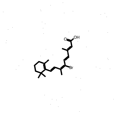 CC1=C(/C=C/C(C)=C(Br)\C=C\C(C)=C\C(=O)O)C(C)(C)CCC1